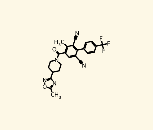 Cc1nc(C2CCN(C(=O)c3cc(C#N)c(-c4ccc(C(F)(F)F)cc4)c(C#N)c3C)CC2)no1